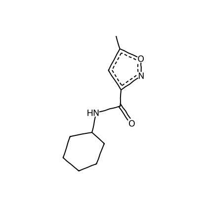 Cc1cc(C(=O)NC2CCCCC2)no1